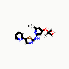 Cc1cc(OC2(C)COC2)cc(Nc2ncc(-c3ccccn3)s2)n1